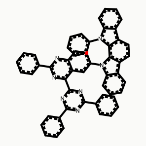 c1ccc(-c2nc(-c3ccccc3)nc(-c3nc(-c4ccccc4)nc4ccc(-n5c6ccccc6c6ccc7c8ccccc8n(-c8ccccc8)c7c65)cc34)n2)cc1